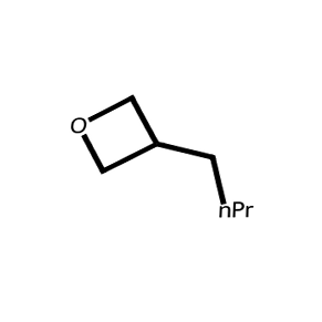 CCCC[C]1COC1